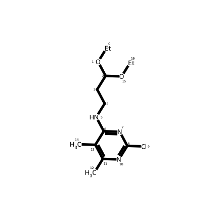 CCOC(CCNc1nc(Cl)nc(C)c1C)OCC